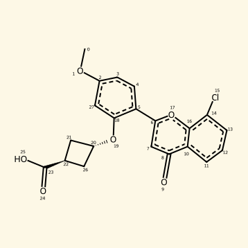 COc1ccc(-c2cc(=O)c3cccc(Cl)c3o2)c(O[C@H]2C[C@H](C(=O)O)C2)c1